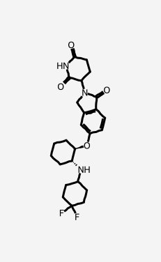 O=C1CCC(N2Cc3cc(O[C@@H]4CCCC[C@H]4NC4CCC(F)(F)CC4)ccc3C2=O)C(=O)N1